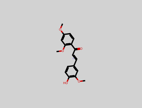 COc1ccc(C(=O)/C=C/c2ccc(O)c(OC)c2)c(OC)c1